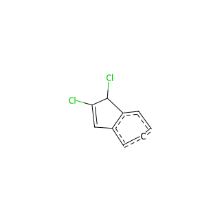 ClC1=Cc2ccccc2C1Cl